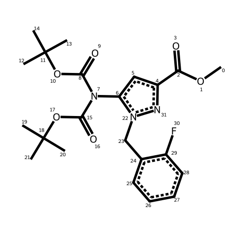 COC(=O)c1cc(N(C(=O)OC(C)(C)C)C(=O)OC(C)(C)C)n(Cc2ccccc2F)n1